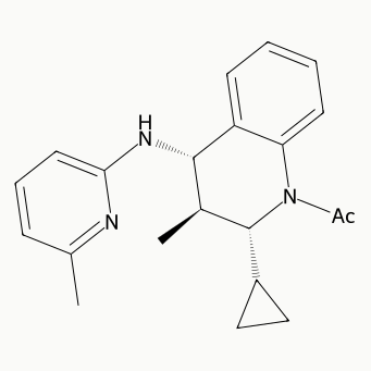 CC(=O)N1c2ccccc2[C@@H](Nc2cccc(C)n2)[C@H](C)[C@H]1C1CC1